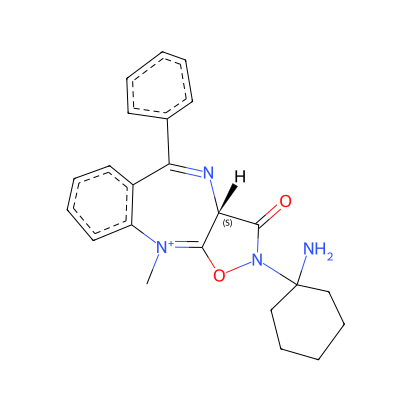 C[N+]1=C2ON(C3(N)CCCCC3)C(=O)[C@H]2N=C(c2ccccc2)c2ccccc21